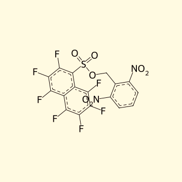 O=[N+]([O-])c1cccc([N+](=O)[O-])c1COS(=O)(=O)c1c(F)c(F)c(F)c2c(F)c(F)c(F)c(F)c12